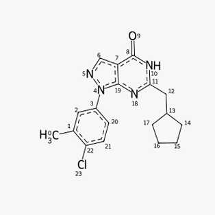 Cc1cc(-n2ncc3c(=O)[nH]c(CC4CCCC4)nc32)ccc1Cl